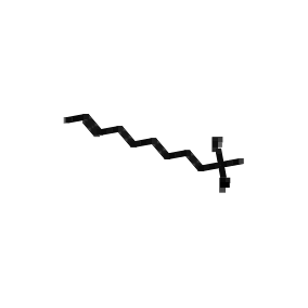 CC=CCCCCCCC(C)(F)F